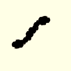 CC(C)c1cccc(C(C)C)c1N1C(=O)c2cccc3c(Oc4ccc(OC(=O)c5ccc6c7ccc(C(=O)Oc8ccc(Oc9ccc%10c%11c(cccc9%11)C(=O)N(c9c(C(C)C)cccc9C(C)C)C%10=O)cc8)c8cccc(c9cccc5c96)c87)cc4)ccc(c23)C1=O